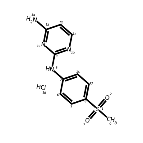 CS(=O)(=O)c1ccc(Nc2nccc(N)n2)cc1.Cl